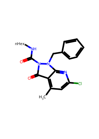 CCCCCCNC(=O)n1c(=O)c2c(C)cc(Cl)nc2n1Cc1ccccc1